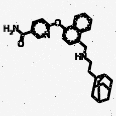 NC(=O)c1ccc(Oc2ccc(CNCCC3C4CC5CC(C4)CC3C5)c3ccccc23)nc1